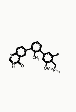 COc1cc(-c2cccc(-c3ccc4nc[nH]c(=O)c4c3)c2C)cc(F)c1CN